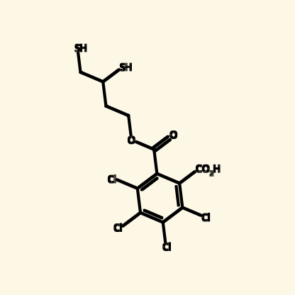 O=C(O)c1c(Cl)c(Cl)c(Cl)c(Cl)c1C(=O)OCCC(S)CS